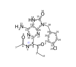 CCC(=O)/S(=N/C(C)=O)c1nc(N)c2[nH]c(=O)n(Cc3ccc(Cl)cc3)c2n1